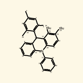 Cc1cc(C)c(C2c3ccccc3N(c3ccccc3)c3ccc(C(C)(C)C)c(C(C)(C)C)c32)c(C)c1